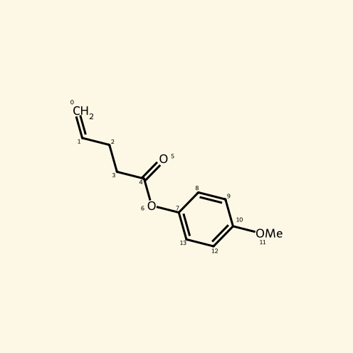 C=CCCC(=O)Oc1ccc(OC)cc1